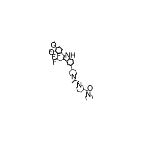 C=C(CN1CCCC(C(=O)N(CC)CC)C1)N1CCC(c2ccc3[nH]c(-c4ccc(OC)c(OC)c4)c(CC(F)(F)F)c3c2)CC1